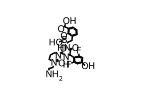 NCCN1CCCN(C(=O)NC(C(=O)N[C@H]2Cc3cccc(C(=O)O)c3OB2O)c2c(F)cc(O)cc2F)C1=O